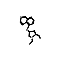 CCC1CC(Oc2cccc3cnccc23)CN1CC